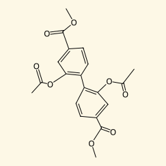 COC(=O)c1ccc(-c2ccc(C(=O)OC)cc2OC(C)=O)c(OC(C)=O)c1